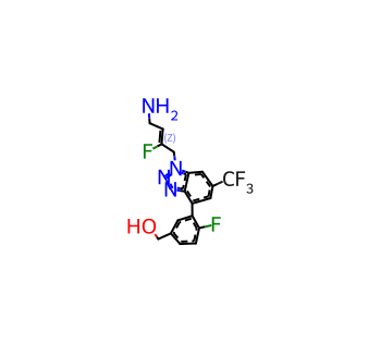 NC/C=C(\F)Cn1nnc2c(-c3cc(CO)ccc3F)cc(C(F)(F)F)cc21